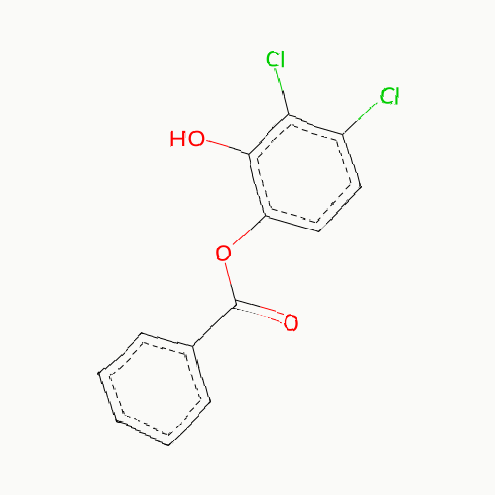 O=C(Oc1ccc(Cl)c(Cl)c1O)c1ccccc1